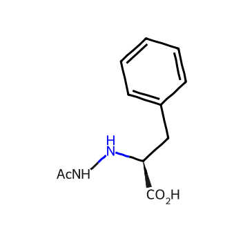 CC(=O)NN[C@@H](Cc1ccccc1)C(=O)O